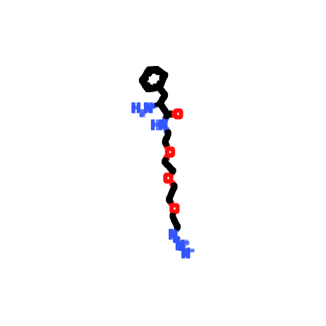 [N-]=[N+]=NCCOCCOCCOCCNC(=O)[C@@H](N)Cc1ccccc1